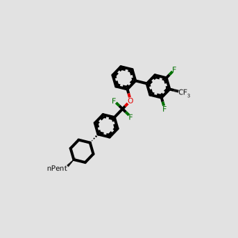 CCCCC[C@H]1CC[C@H](c2ccc(C(F)(F)Oc3ccccc3-c3cc(F)c(C(F)(F)F)c(F)c3)cc2)CC1